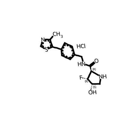 Cc1ncsc1-c1ccc(CNC(=O)[C@H]2NC[C@H](O)[C@@H]2F)cc1.Cl